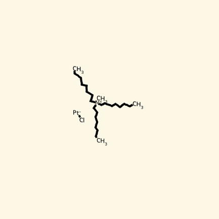 CCCCCCCC[N+](C)(CCCCCCCC)CCCCCCCC.[Cl][Pt-]